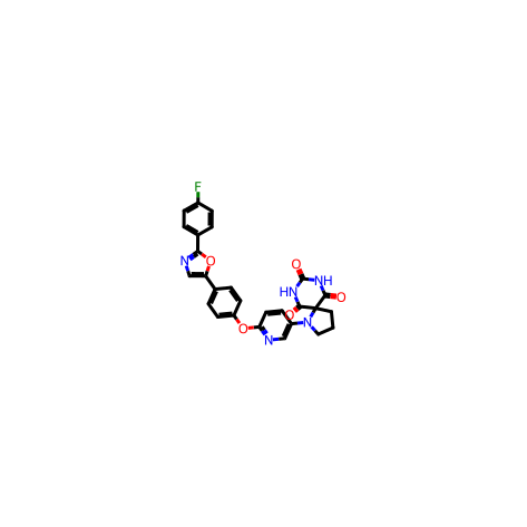 O=C1NC(=O)C2(CCCN2c2ccc(Oc3ccc(-c4cnc(-c5ccc(F)cc5)o4)cc3)nc2)C(=O)N1